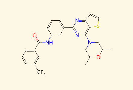 CC1CN(c2nc(-c3cccc(NC(=O)c4cccc(C(F)(F)F)c4)c3)nc3ccsc23)CC(C)O1